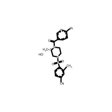 Cc1cc(C#N)ccc1S(=O)(=O)N1CCN(C(=O)c2ccc(C(C)C)nc2)[C@@H](C)C1.Cl